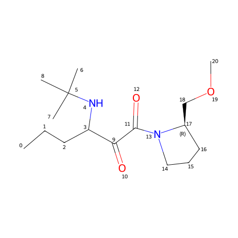 CCCC(NC(C)(C)C)C(=O)C(=O)N1CCC[C@@H]1COC